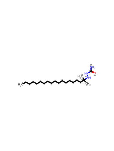 CCCCCCCCCCCCCCCCCC(C)(C)NNC(N)=O